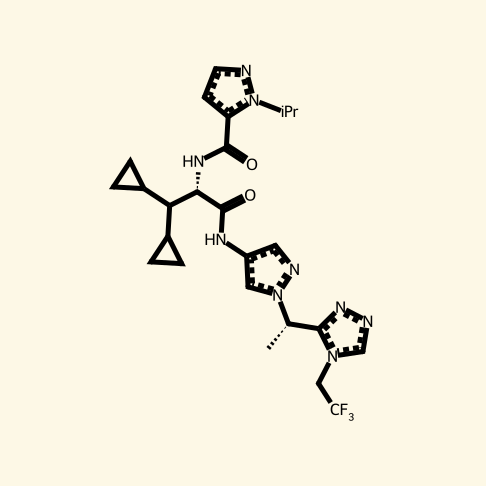 CC(C)n1nccc1C(=O)N[C@H](C(=O)Nc1cnn([C@@H](C)c2nncn2CC(F)(F)F)c1)C(C1CC1)C1CC1